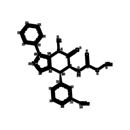 CCN1C(=O)[C@@H](NC(=O)OC(C)(C)C)[C@H](c2cccc(NC)c2)c2cnn(-c3ccccc3)c21